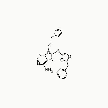 Nc1ncnc2c1nc(SC1=COC(Cc3ccccc3)O1)n2CCCn1cccc1